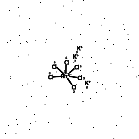 [Cl][Rh-3]([Cl])([Cl])([Cl])([Cl])[Cl].[K+].[K+].[K+]